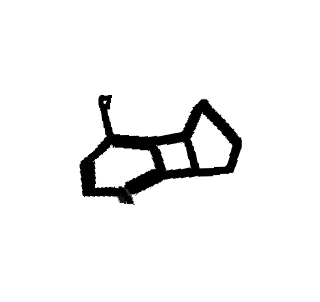 Clc1ccnc2c1C1CCCC21